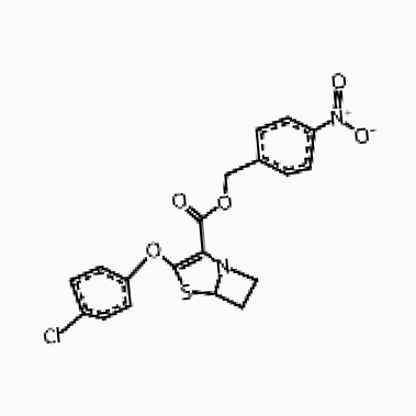 O=C(OCc1ccc([N+](=O)[O-])cc1)C1=C(Oc2ccc(Cl)cc2)SC2CCN12